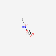 C=CCCCCC(=O)NCCCOc1c(C)cc(C(=O)OC)cc1C